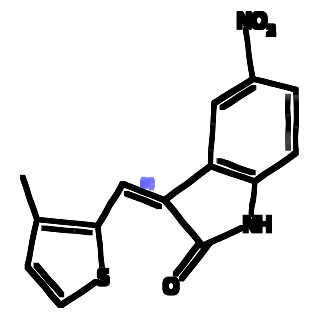 Cc1ccsc1/C=C1\C(=O)Nc2ccc([N+](=O)[O-])cc21